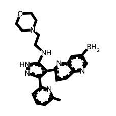 Bc1cnc2ccc(-c3c(-c4cccc(C)n4)n[nH]c3NCCN3CCOCC3)nc2c1